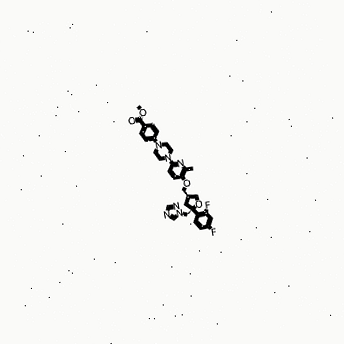 COC(=O)c1ccc(N2CCN(c3ccc(OC[C@H]4CO[C@@](Cn5cncn5)(c5ccc(F)cc5F)C4)c(C)n3)CC2)cc1